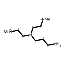 CNCCN(CCCN)CCNC